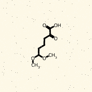 COC(CCCC(=O)C(=O)O)OC